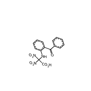 O=C(c1ccccc1)c1ccccc1NC(C(=O)O)([N+](=O)[O-])[N+](=O)[O-]